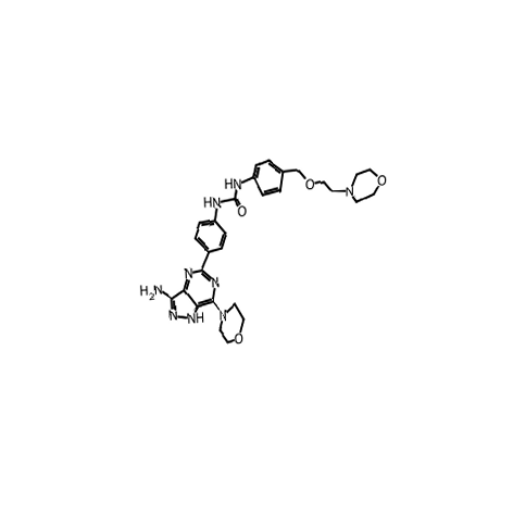 Nc1n[nH]c2c(N3CCOCC3)nc(-c3ccc(NC(=O)Nc4ccc(COCCN5CCOCC5)cc4)cc3)nc12